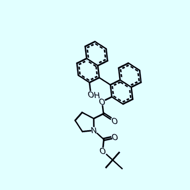 CC(C)(C)OC(=O)N1CCCC1C(=O)Oc1ccc2ccccc2c1-c1c(O)ccc2ccccc12